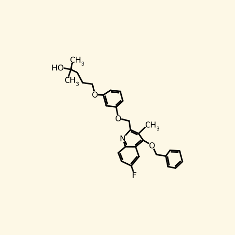 Cc1c(COc2cccc(OCCCC(C)(C)O)c2)nc2ccc(F)cc2c1OCc1ccccc1